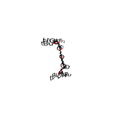 CC(C)(C)c1cc(CCC(=O)OCCCCCCOCCCCCCOC(=O)CCc2cc(C(C)(C)C)c(O)c(C(C)(C)C)c2)cc(C(C)(C)C)c1O